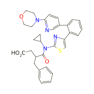 O=C(O)CC(Cc1ccccc1)C(=O)N(c1nc(-c2ccccc2-c2ccc(N3CCOCC3)nc2)cs1)C1CC1